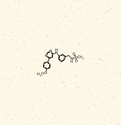 COc1ccc(-c2cc(Nc3cccc(CNS(C)(=O)=O)c3)ncn2)cc1